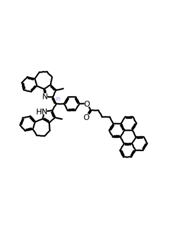 CC1=C2CCCc3ccccc3C2=N/C1=C(/c1ccc(OC(=O)CCCc2ccc3c4cccc5cccc(c6cccc2c63)c54)cc1)c1[nH]c2c(c1C)CCCc1ccccc1-2